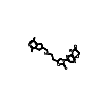 Cc1cnc(C)c2c1CC(CNCCC1CN(c3cnc4c(n3)NC(=O)CO4)C(=O)O1)C2